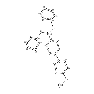 NCc1ccc(-c2ccc(N(Cc3ccccc3)Cc3ccccc3)cc2)cc1